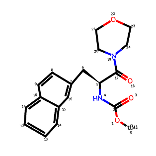 CC(C)(C)OC(=O)N[C@@H](Cc1ccc2ccccc2c1)C(=O)N1CCOCC1